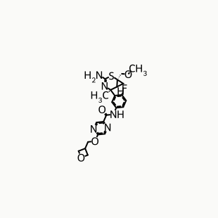 COC[C@]12C[C@H]1[C@@](C)(c1cc(NC(=O)c3cnc(OCC4COC4)cn3)ccc1F)N=C(N)S2